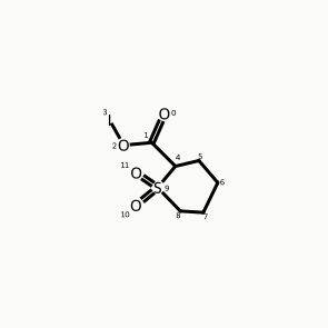 O=C(OI)C1CCCCS1(=O)=O